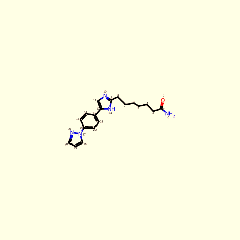 NC(=O)CCCCCCc1ncc(-c2ccc(-n3cccn3)cc2)[nH]1